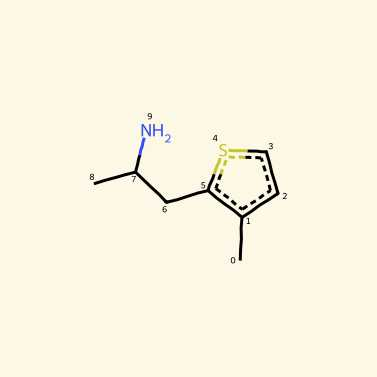 Cc1ccsc1CC(C)N